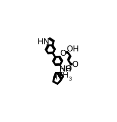 CN1C2CCC1CC(Nc1ccc(-c3ccc4[nH]ccc4c3)cc1)C2.O=C(O)/C=C/C(=O)O